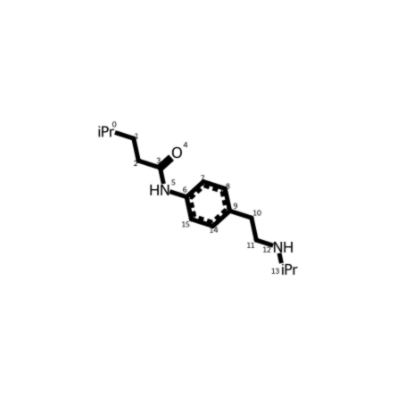 CC(C)CCC(=O)Nc1ccc(CCNC(C)C)cc1